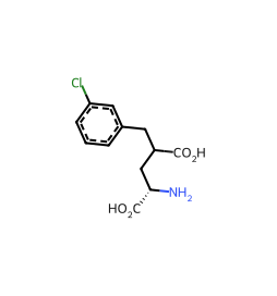 N[C@@H](CC(Cc1cccc(Cl)c1)C(=O)O)C(=O)O